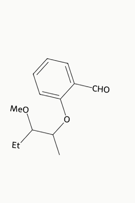 CCC(OC)C(C)Oc1ccccc1C=O